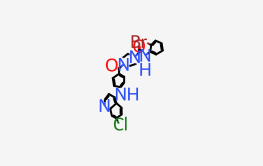 O=C(Nc1ccccc1Br)N1CCN(C(=O)c2ccc(Nc3ccnc4cc(Cl)ccc34)cc2)CC1